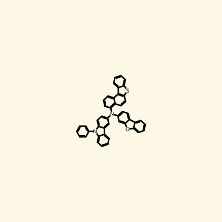 c1ccc(-n2c3ccccc3c3cc(N(c4ccc5c(c4)oc4ccccc45)c4cccc5c4ccc4sc6ccccc6c45)ccc32)cc1